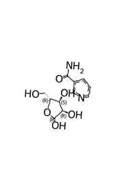 NC(=O)c1cccnc1.OC[C@H]1O[C@@H](O)[C@H](O)[C@@H]1O